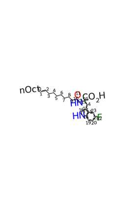 CCCCCCCCC=CCCCCCCCC(=O)NC(Cc1c[nH]c2ccc(F)cc12)C(=O)O